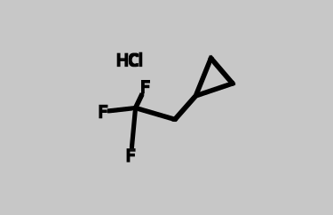 Cl.FC(F)(F)CC1CC1